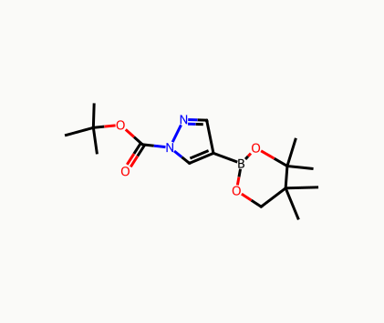 CC(C)(C)OC(=O)n1cc(B2OCC(C)(C)C(C)(C)O2)cn1